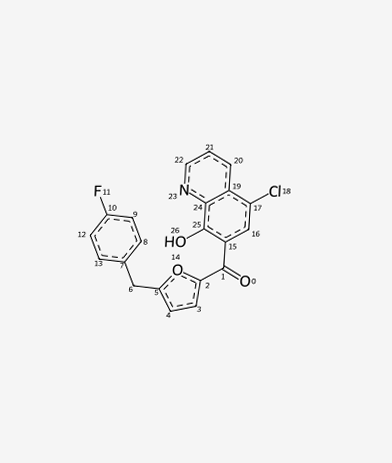 O=C(c1ccc(Cc2ccc(F)cc2)o1)c1cc(Cl)c2cccnc2c1O